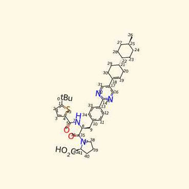 CC(C)(C)c1ccc(C(=O)N[C@@H](Cc2ccc(-c3ncc(C4=CCC([C@H]5CC[C@H](C)CC5)CC4)cn3)cc2)C(=O)N2CCC[C@H]2C(=O)O)s1